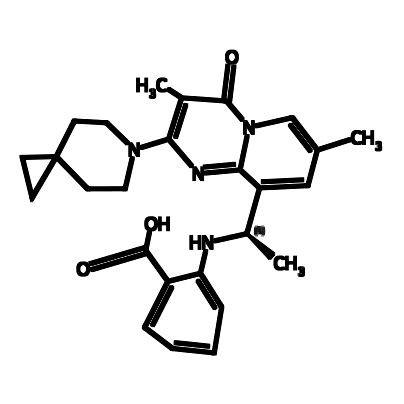 Cc1cc([C@@H](C)Nc2ccccc2C(=O)O)c2nc(N3CCC4(CC3)CC4)c(C)c(=O)n2c1